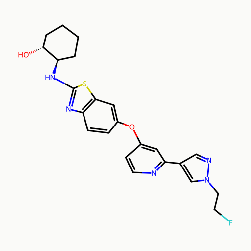 O[C@@H]1CCCC[C@H]1Nc1nc2ccc(Oc3ccnc(-c4cnn(CCF)c4)c3)cc2s1